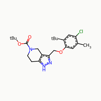 Cc1cc(OCc2n[nH]c3c2CN(C(=O)OC(C)(C)C)CC3)c(C(C)(C)C)cc1Cl